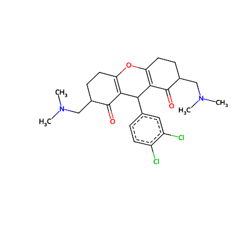 CN(C)CC1CCC2=C(C1=O)C(c1ccc(Cl)c(Cl)c1)C1=C(CCC(CN(C)C)C1=O)O2